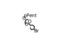 CCCCCO[C@H]1CO[C@H]([C@H]2CC[C@H](Br)CC2)OC1